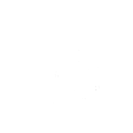 O=C(CC(O)C1CCCCC1)c1ccsc1Br